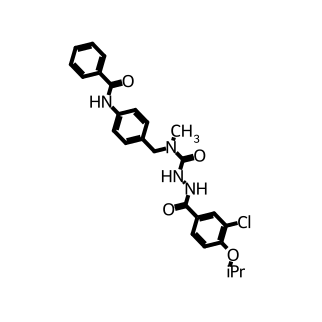 CC(C)Oc1ccc(C(=O)NNC(=O)N(C)Cc2ccc(NC(=O)c3ccccc3)cc2)cc1Cl